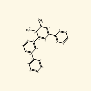 CC1N=C(c2ccccc2)N=C(c2cccc(-c3ccccc3)c2)C1C